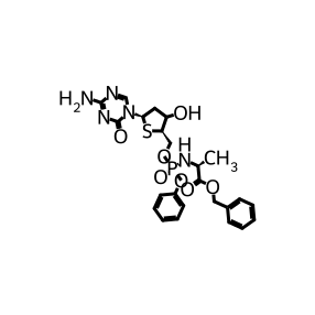 C[C@H](NP(=O)(OC[C@H]1S[C@@H](n2cnc(N)nc2=O)CC1O)Oc1ccccc1)C(=O)OCc1ccccc1